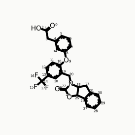 O=C(O)Cc1cccc(Oc2ccc(C(F)(F)F)cc2CN2C(=O)OC3c4ccccc4CC32)c1